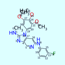 CNc1nc2cnc(Nc3cccc(F)c3)cc2n1-c1cc(OC)c(OC)c(OC)c1